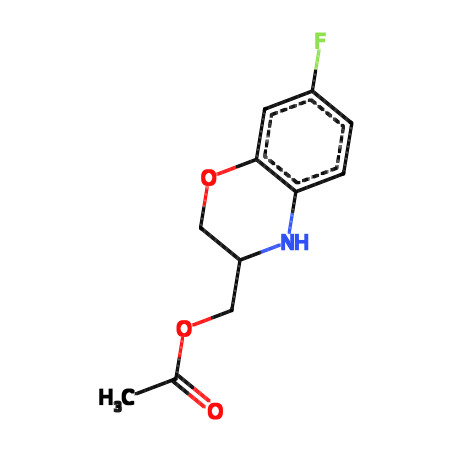 CC(=O)OCC1COc2cc(F)ccc2N1